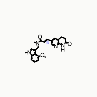 COc1cccc2c1c(CN(C)C(=O)/C=C/c1cnc3c(c1)CCC(=O)N3)cn2C